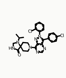 CC(C)N1CNC(=O)C12CCN(c1ncnc3c(-c4ccc(Cl)cc4)n(-c4ccccc4Cl)nc13)CC2